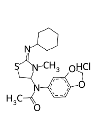 CC(=O)N(c1ccc2c(c1)OCO2)C1CSC(=NC2CCCCC2)N1C.Cl